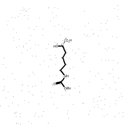 CC(C)COC(=O)NCCCC[C@H](O)C(=O)O